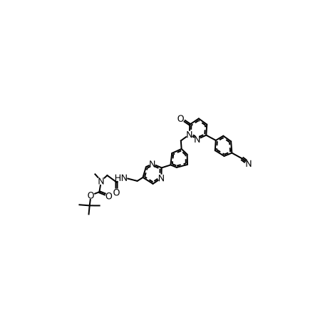 CN(CC(=O)NCc1cnc(-c2cccc(Cn3nc(-c4ccc(C#N)cc4)ccc3=O)c2)nc1)C(=O)OC(C)(C)C